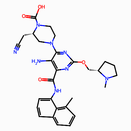 Cc1cccc2cccc(NC(=O)c3nc(OC[C@@H]4CCCN4C)nc(N4CCN(C(=O)O)[C@@H](CC#N)C4)c3N)c12